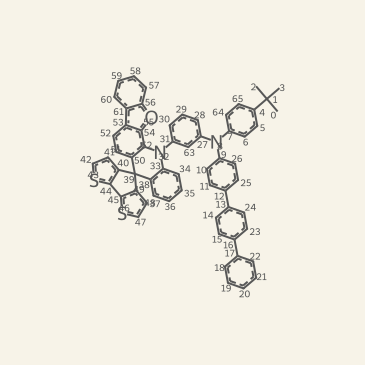 CC(C)(C)c1ccc(N(c2ccc(-c3ccc(-c4ccccc4)cc3)cc2)c2cccc(N3c4ccccc4C4(c5ccsc5-c5sccc54)c4ccc5c(oc6ccccc65)c43)c2)cc1